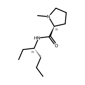 CCC[C@H](CC)NC(=O)[C@@H]1CCCN1C